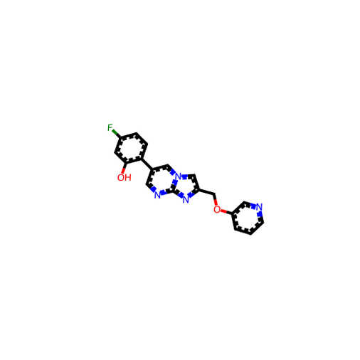 Oc1cc(F)ccc1-c1cnc2nc(COc3cccnc3)cn2c1